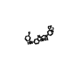 FC1C=C(Nc2ccc3[nH]c(CNc4ccnc(C(F)(F)F)c4)nc3c2)C=CC1